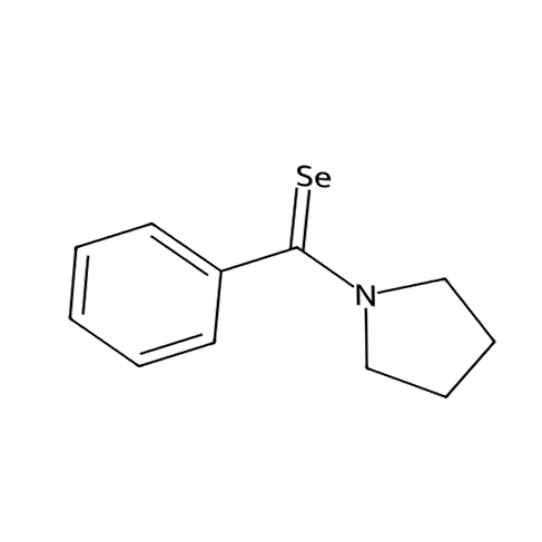 [Se]=C(c1ccccc1)N1CCCC1